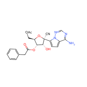 CC(=O)OC[C@H]1O[C@@](C#N)(c2ccc3c(N)ncnn23)[C@H](O)[C@@H]1OC(=O)Cc1ccccc1